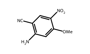 COc1cc(N)c(C#N)cc1[N+](=O)[O-]